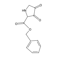 O=C1CNC(C(=O)OCc2ccccc2)C1=O